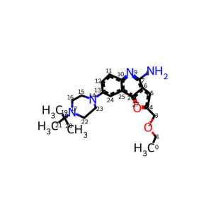 CCOCc1cc2c(N)nc3ccc(N4CCN(C(C)(C)C)CC4)cc3c2o1